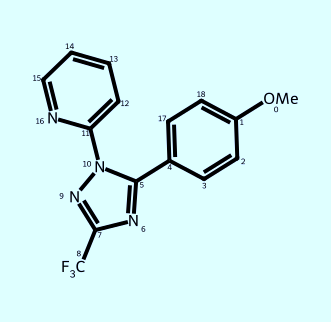 COc1ccc(-c2nc(C(F)(F)F)nn2-c2ccccn2)cc1